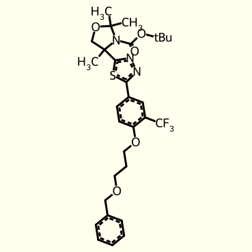 CC(C)(C)OC(=O)N1C(C)(C)OCC1(C)c1nnc(-c2ccc(OCCCOCc3ccccc3)c(C(F)(F)F)c2)s1